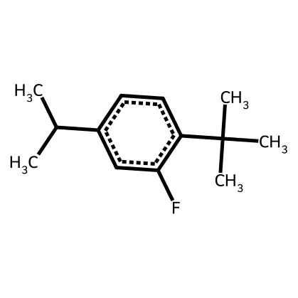 CC(C)c1ccc(C(C)(C)C)c(F)c1